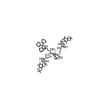 Cc1c(C)c(S(=O)(=O)NC(=N)NCCC[C@H](NC(=O)[C@H](CCCNC(=N)NS(=O)(=O)c2c(C)c(C)c3c(c2C)CC(C)(C)O3)NC(=O)[C@@H](N)CCC(=O)NC(c2ccccc2)(c2ccccc2)c2ccccc2)C(=O)O)c(C)c2c1OC(C)(C)C2